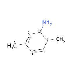 CC1=CC(N)C(C)C=C1